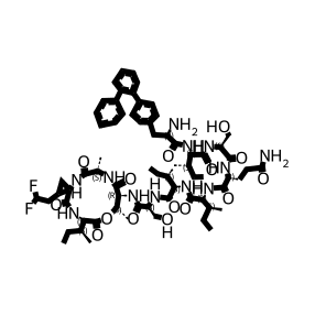 CC[C@H](C)[C@H](NC(=O)[C@H](N)Cc1ccc(-c2ccccc2-c2ccccc2)cc1)C(=O)N[C@@H](CO)C(=O)N[C@H](CCC(N)=O)C(=O)N[C@@H](C(=O)N[C@H](C(=O)N[C@@H](CO)C(=O)N[C@H]1C(=O)N[C@@H](C)C(=O)NC2(CC2CC(F)F)C(=O)N[C@@H]([C@@H](C)CC)C(=O)O[C@H]1C)[C@@H](C)CC)[C@@H](C)CC